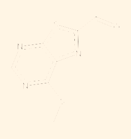 CSc1ncnc2sc(C=O)nc12